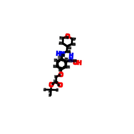 CC(C)(C)OC(=O)COc1ccc(NCC2CCOCC2)c(NO)c1